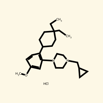 CCC1(CC)CCC(c2ccc(OC)cc2N2CCN(CC3CC3)CC2)CC1.Cl